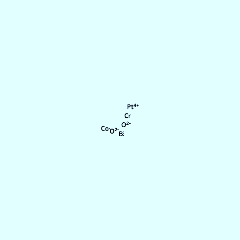 [B].[Co].[Cr].[O-2].[O-2].[Pt+4]